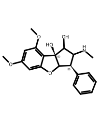 CNC1C(O)[C@@]2(O)c3c(OC)cc(OC)cc3OC2[C@@H]1c1ccccc1